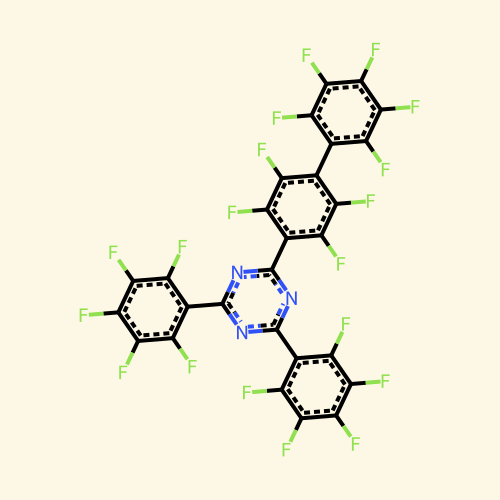 Fc1c(F)c(F)c(-c2nc(-c3c(F)c(F)c(F)c(F)c3F)nc(-c3c(F)c(F)c(-c4c(F)c(F)c(F)c(F)c4F)c(F)c3F)n2)c(F)c1F